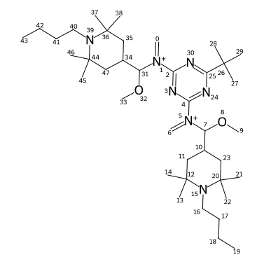 C=[N+](c1nc([N+](=C)C(OC)C2CC(C)(C)N(CCCC)C(C)(C)C2)nc(C(C)(C)C)n1)C(OC)C1CC(C)(C)N(CCCC)C(C)(C)C1